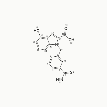 NC(=S)c1cccc(Cn2c(C(=O)O)cc3c(O)cccc32)c1